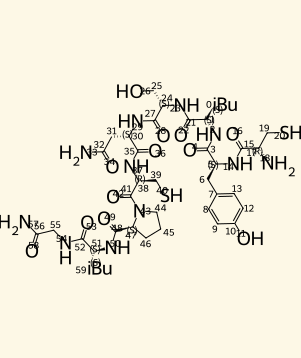 CC[C@H](C)[C@H](NC(=O)[C@H](Cc1ccc(O)cc1)NC(=O)[C@@H](N)CS)C(=O)N[C@@H](CO)C(=O)N[C@@H](CC(N)=O)C(=O)N[C@@H](CS)C(=O)N1CCC[C@H]1C(=O)N[C@H](C(=O)NCC(N)=O)[C@@H](C)CC